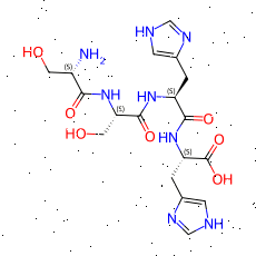 N[C@@H](CO)C(=O)N[C@@H](CO)C(=O)N[C@@H](Cc1c[nH]cn1)C(=O)N[C@@H](Cc1c[nH]cn1)C(=O)O